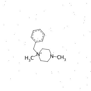 CN1CC[N+](C)(Cc2ccccc2)CC1